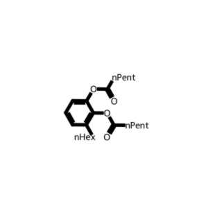 CCCCCCc1cccc(OC(=O)CCCCC)c1OC(=O)CCCCC